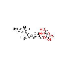 C/C(=C\CCCOC1=C(O)C(=O)OC1C(O)CO)CCCC(C)CCCC(C)CCCC(C)C